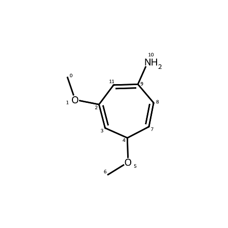 COC1=CC(OC)C=CC(N)=C1